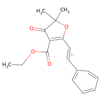 CCOC(=O)C1=C(/C=C/c2ccccc2)OC(C)(C)C1=O